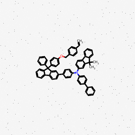 C=Cc1ccc(COc2ccc(C3(c4ccccc4)c4ccccc4-c4ccc(-c5ccc(N(c6ccc(-c7ccccc7)cc6)c6ccc7c(c6)C(C)(C)c6ccccc6-7)cc5)cc43)cc2)cc1